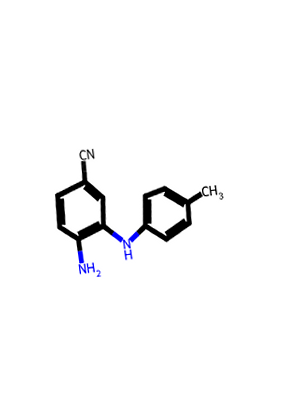 Cc1ccc(Nc2cc(C#N)ccc2N)cc1